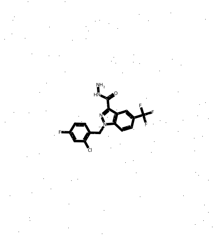 NNC(=O)c1nn(Cc2ccc(F)cc2Cl)c2ccc(C(F)(F)F)cc12